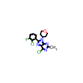 Cc1nc(Cl)c2nc(-c3cccc(F)c3Cl)n(C3CCOCC3)c2n1